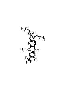 CCOP(=O)(Cc1ccc(Nc2ncc(C(F)(F)F)c(Cl)n2)c(OC)n1)OCC